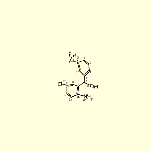 COc1cccc(C(O)c2cc(Cl)ccc2N)c1